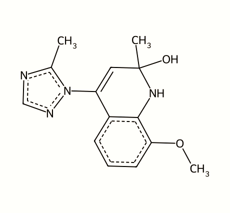 COc1cccc2c1NC(C)(O)C=C2n1ncnc1C